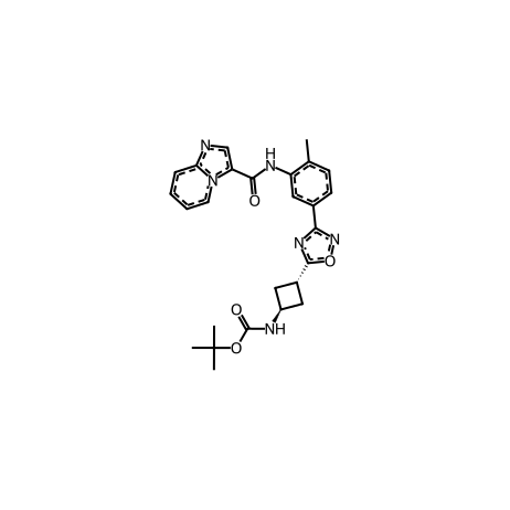 Cc1ccc(-c2noc([C@H]3C[C@H](NC(=O)OC(C)(C)C)C3)n2)cc1NC(=O)c1cnc2ccccn12